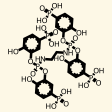 O=P(NCCNP(=O)(Oc1cc(P(=O)(O)O)ccc1O)Oc1cc(P(=O)(O)O)ccc1O)(Oc1cc(P(=O)(O)O)ccc1O)Oc1cc(P(=O)(O)O)ccc1O